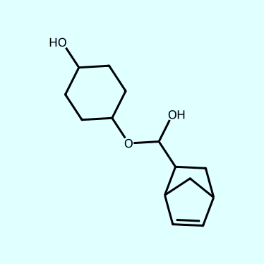 OC1CCC(OC(O)C2CC3C=CC2C3)CC1